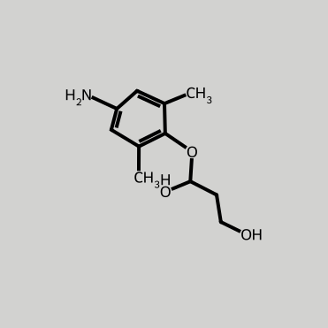 Cc1cc(N)cc(C)c1OC(O)CCO